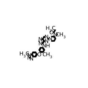 C=CC(=O)N(C)[C@@H]1CCCN(c2ncc3ncnc(Nc4ccc(Oc5ccc6c(c5)nnn6C)c(C)c4)c3n2)C1